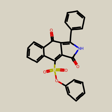 O=C1NC(c2ccccc2)=C2C(=O)c3ccccc3C(S(=O)(=O)Oc3ccccc3)=C12